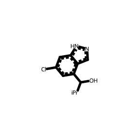 CC(C)C(O)c1cc(Cl)cc2[nH]ncc12